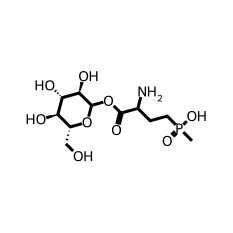 CP(=O)(O)CCC(N)C(=O)OC1O[C@H](CO)[C@@H](O)[C@H](O)[C@H]1O